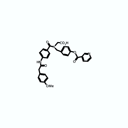 COc1ccc(CC(=O)Nc2ccc(C(=O)N(CC(=O)O)Cc3ccc(OC(=O)c4cccnc4)cc3)cc2)cc1